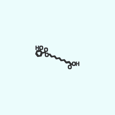 O=C(O)C=CCCCCCCCOC(=O)c1ccccc1O